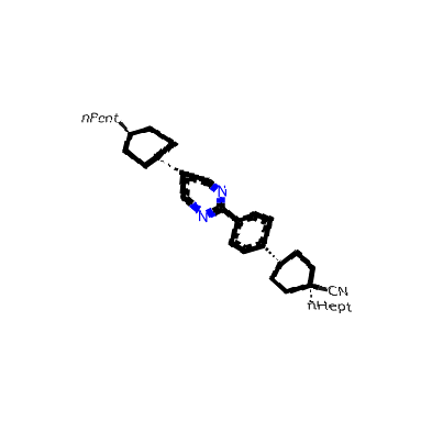 CCCCCCC[C@]1(C#N)CC[C@H](c2ccc(-c3ncc([C@H]4CC[C@H](CCCCC)CC4)cn3)cc2)CC1